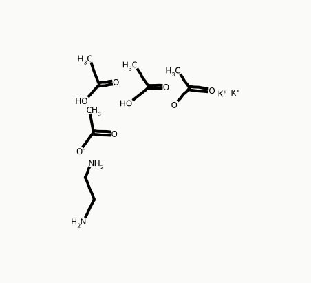 CC(=O)O.CC(=O)O.CC(=O)[O-].CC(=O)[O-].NCCN.[K+].[K+]